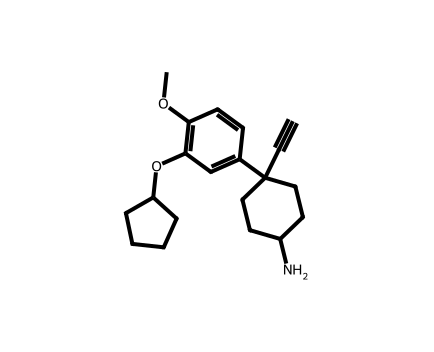 C#CC1(c2ccc(OC)c(OC3CCCC3)c2)CCC(N)CC1